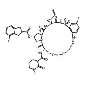 C=C[C@@H]1C[C@@]12NC(=O)[C@@H]1C[C@@H](OC(=O)N3Cc4cccc(F)c4C3)CN1C(=O)[C@@H](NC(=O)C1CCCN(C)C1=O)CCCCCCCNc1ccc(F)cc1S(=O)(=O)NC2=O